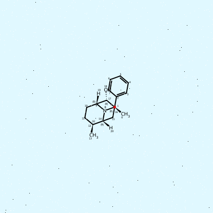 C[C@H](c1ccccc1)N1[C@@H]2CC[C@H](C)[C@H]1CC[C@H]2O